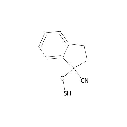 N#CC1(OS)CCc2ccccc21